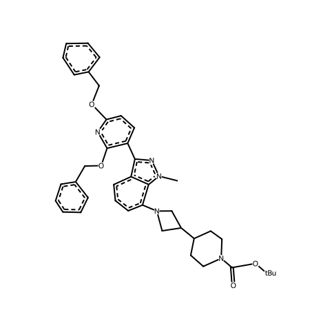 Cn1nc(-c2ccc(OCc3ccccc3)nc2OCc2ccccc2)c2cccc(N3CC(C4CCN(C(=O)OC(C)(C)C)CC4)C3)c21